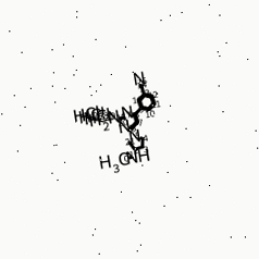 CNC1CCN(c2cc(-c3cccc(C#N)c3)nc(N)n2)C1.Cl.Cl.Cl